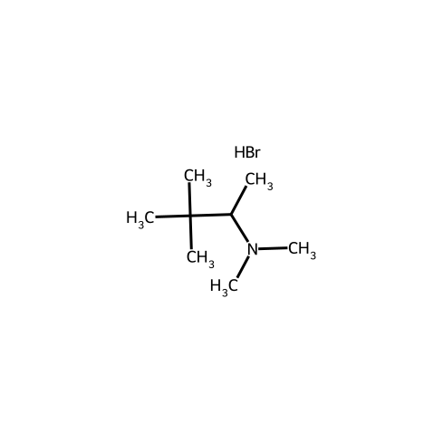 Br.CC(N(C)C)C(C)(C)C